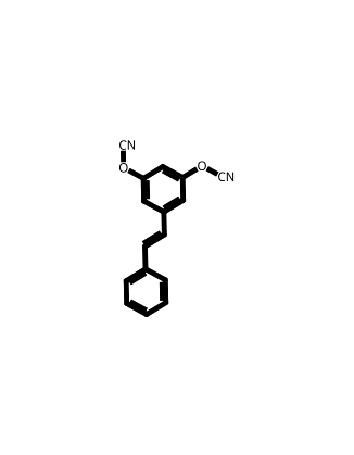 N#COc1cc(C=Cc2ccccc2)cc(OC#N)c1